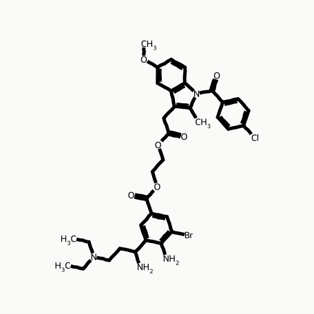 CCN(CC)CCC(N)c1cc(C(=O)OCCOC(=O)Cc2c(C)n(C(=O)c3ccc(Cl)cc3)c3ccc(OC)cc23)cc(Br)c1N